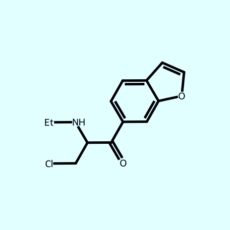 CCNC(CCl)C(=O)c1ccc2ccoc2c1